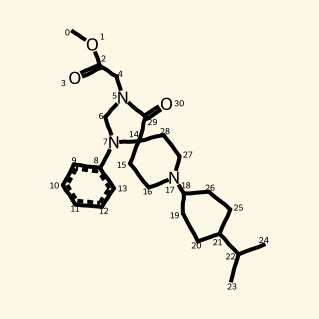 COC(=O)CN1CN(c2ccccc2)C2(CCN(C3CCC(C(C)C)CC3)CC2)C1=O